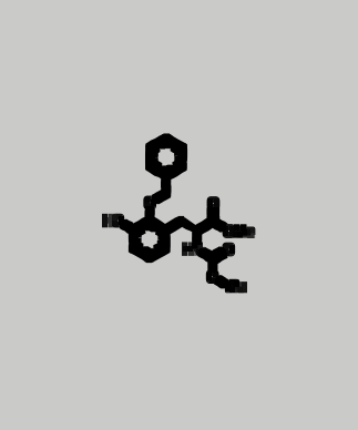 COC(=O)[C@H](Cc1cccc(O)c1OCc1ccccc1)NC(=O)OC(C)(C)C